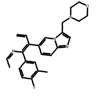 C=C/C(=C(\N=C/C)c1ccc(F)c(C)c1)c1ccc2ncc(CN3CCOCC3)n2c1